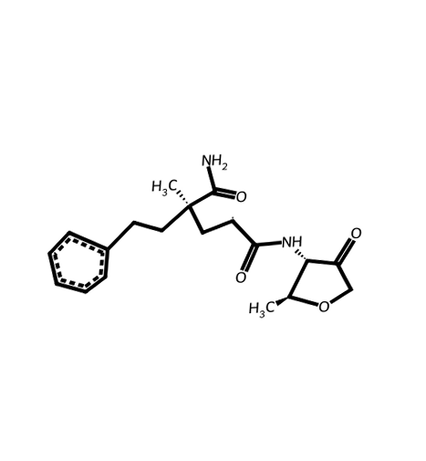 C[C@@H]1OCC(=O)[C@H]1NC(=O)[CH]C[C@@](C)(CCc1ccccc1)C(N)=O